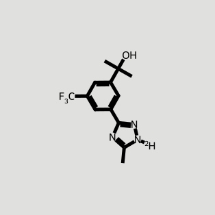 [2H]n1nc(-c2cc(C(C)(C)O)cc(C(F)(F)F)c2)nc1C